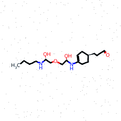 CCCCN[C@H](O)COC[C@H](O)NC1=CC[C@@H](CCC=O)CC1